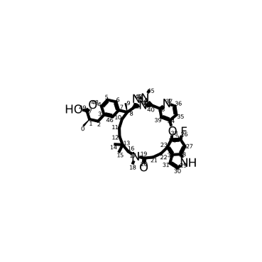 C[C@H](Cc1cccc([C@@]2(C)CCCC(C)(C)CN(C)C(=O)CCc3c(c(F)cc4[nH]ccc34)Oc3ccnc(c3)-c3nc2nn3C)c1)C(=O)O